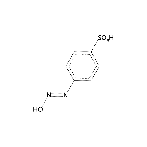 O=S(=O)(O)c1ccc(N=NO)cc1